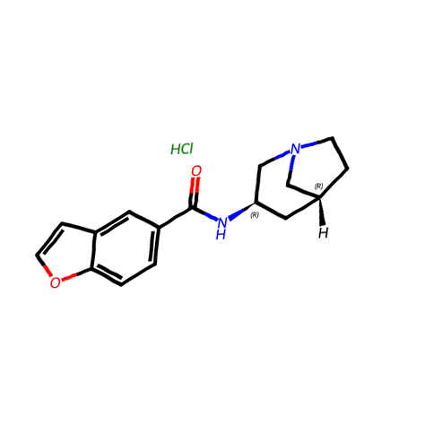 Cl.O=C(N[C@@H]1C[C@H]2CCN(C2)C1)c1ccc2occc2c1